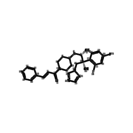 C[C@@H](SC1CCN(C(=O)C=Cc2ccncc2)CC1)[C@](O)(Cn1cncn1)c1ccc(F)cc1F